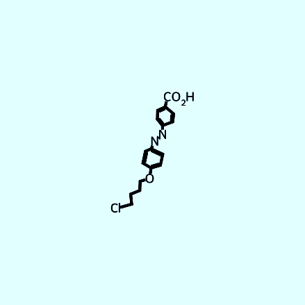 O=C(O)c1ccc(/N=N/c2ccc(OCCCCCl)cc2)cc1